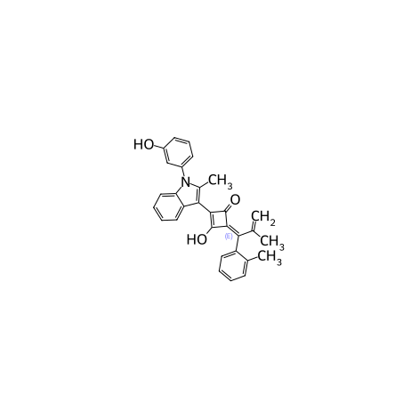 C=C(C)/C(=C1\C(=O)C(c2c(C)n(-c3cccc(O)c3)c3ccccc23)=C1O)c1ccccc1C